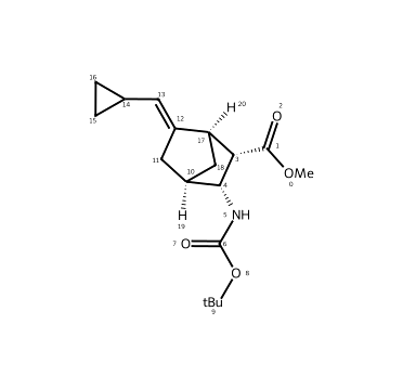 COC(=O)[C@@H]1[C@H](NC(=O)OC(C)(C)C)[C@H]2CC(=CC3CC3)[C@@H]1C2